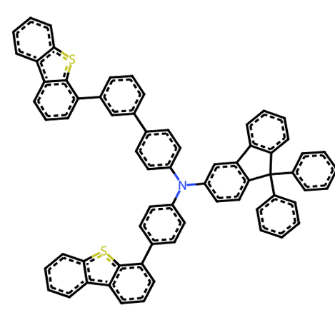 c1ccc(C2(c3ccccc3)c3ccccc3-c3cc(N(c4ccc(-c5cccc(-c6cccc7c6sc6ccccc67)c5)cc4)c4ccc(-c5cccc6c5sc5ccccc56)cc4)ccc32)cc1